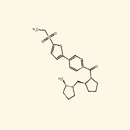 CCS(=O)(=O)c1ccc(-c2ccc(C(=O)N3CCC[C@H]3CN3CCC[C@H]3C)cc2)s1